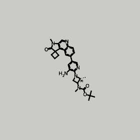 C[C@@H]1C(N(C)C(=O)OC(C)(C)C)CN1c1ncc(-c2ccc3ncc4c(c3c2)C2(CCC2)C(=O)N4C)cc1N